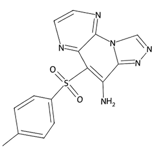 Cc1ccc(S(=O)(=O)c2c(N)c3nncn3c3nccnc23)cc1